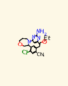 CCOCCc1cc(C2COCCCN2c2cc(C)nc(N)n2)c(Cl)cc1C#N